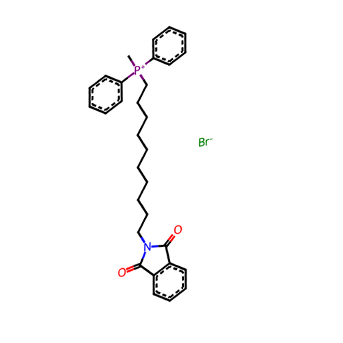 C[P+](CCCCCCCCCCN1C(=O)c2ccccc2C1=O)(c1ccccc1)c1ccccc1.[Br-]